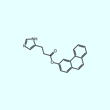 O=C(CCc1cnc[nH]1)Oc1ccc2ccc3ccccc3c2c1